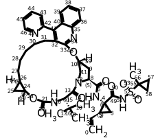 C=C[C@@H]1C[C@]1(NC(=O)[C@@H]1C[C@@H]2CN1C(=O)[C@H](C(C)(C)C)NC(=O)O[C@@H]1C[C@H]1CCCCCc1c(nc3ccccc3c1-c1ccccn1)O2)C(=O)NS(=O)(=O)C1(C)CC1